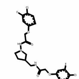 O=C(COc1ccc(Cl)c(F)c1)NCC1CCN(NC(=O)COc2ccc(Cl)c(F)c2)C1